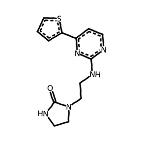 O=C1NCCN1CCNc1nccc(-c2cccs2)n1